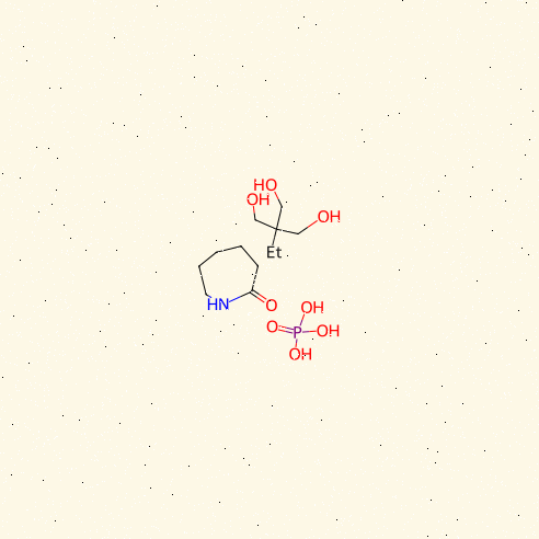 CCC(CO)(CO)CO.O=C1CCCCCN1.O=P(O)(O)O